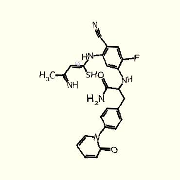 CC(=N)/C=C(\S)Nc1cc(NC(Cc2ccc(-n3ccccc3=O)cc2)C(N)=O)c(F)cc1C#N